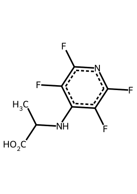 CC(Nc1c(F)c(F)nc(F)c1F)C(=O)O